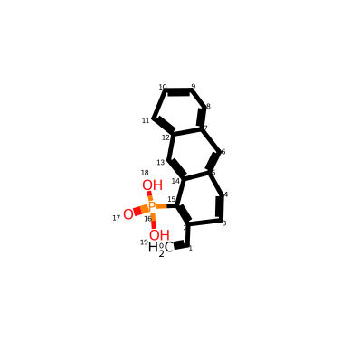 C=Cc1ccc2cc3ccccc3cc2c1P(=O)(O)O